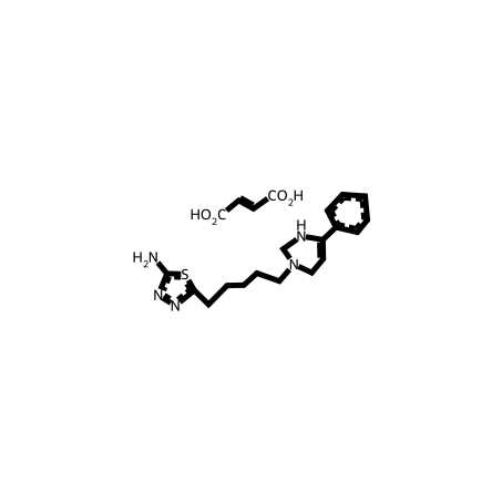 Nc1nnc(CCCCCN2CC=C(c3ccccc3)NC2)s1.O=C(O)C=CC(=O)O